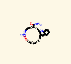 NC(=O)c1cccn[nH]oocccccccc2cc3ccccc3nc2cc1